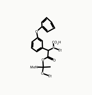 CCOC(C)(NC)OC(=O)C(c1cccc(Oc2ccccc2)c1)N(CC)C(=O)O